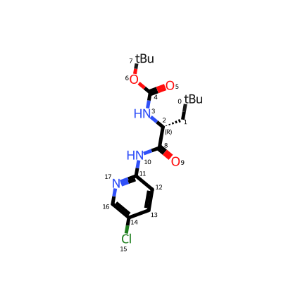 CC(C)(C)C[C@@H](NC(=O)OC(C)(C)C)C(=O)Nc1ccc(Cl)cn1